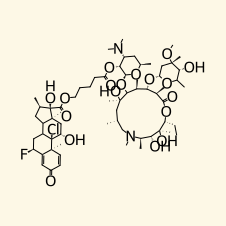 CC[C@H]1OC(=O)[C@H](C)[C@@H](O[C@@H]2C[C@](C)(OC)[C@H](O)C(C)O2)[C@H](C)C(O[C@@H]2O[C@H](C)C[C@@H](N(C)C)[C@H]2OC(=O)CCCCOC(=O)[C@@]2(O)[C@H](C)CC3C4C[C@H](F)C5=CC(=O)C=C[C@]5(C)[C@@]4(Cl)[C@@H](O)C[C@@]32C)[C@](C)(O)C[C@@H](C)CN(C)[C@H](C)[C@@H](O)[C@]1(C)O